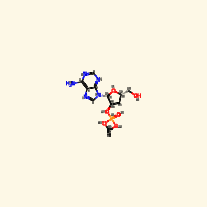 Nc1ncnc2c1ncn2[C@@H]1O[C@H](CO)C[C@H]1OP1(=O)OBO1